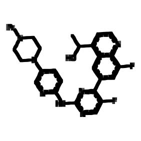 CC(O)c1ccnc2c(F)cc(-c3nc(Nc4ccc(N5CCN(C(C)C)CC5)cn4)ncc3F)cc12